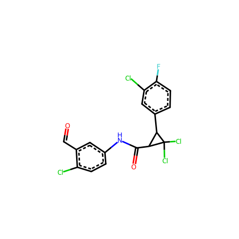 O=Cc1cc(NC(=O)C2C(c3ccc(F)c(Cl)c3)C2(Cl)Cl)ccc1Cl